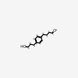 O=CCCCc1ccc(CCCO)cc1